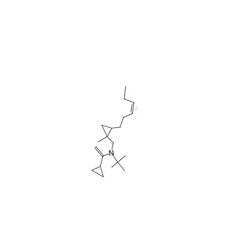 C=C(C1CC1)N(CC1(C)CC1CC/C=C\CC)C(C)(C)C